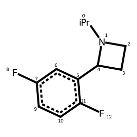 CC(C)N1CCC1c1cc(F)ccc1F